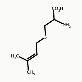 CC(C)=CCSCC(N)C(=O)O